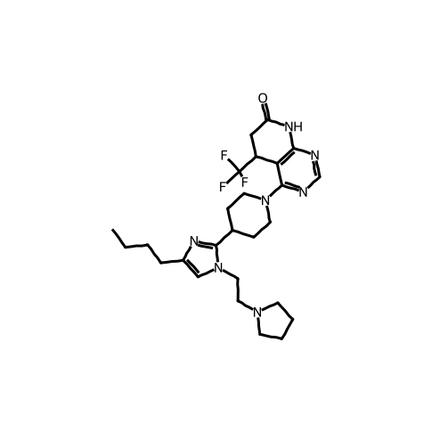 CCCCc1cn(CCN2CCCC2)c(C2CCN(c3ncnc4c3C(C(F)(F)F)CC(=O)N4)CC2)n1